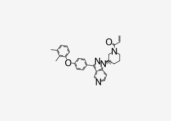 C=CC(=O)N1CCC[C@@H](n2nc(-c3ccc(Oc4cccc(C)c4C)cc3)c3cnccc32)C1